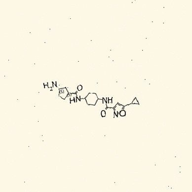 N[C@H]1CC[C@H](C(=O)NC2CCC(NC(=O)c3cc(C4CC4)on3)CC2)C1